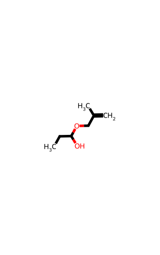 C=C(C)CO[C](O)CC